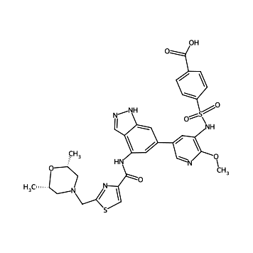 COc1ncc(-c2cc(NC(=O)c3csc(CN4C[C@@H](C)O[C@@H](C)C4)n3)c3cn[nH]c3c2)cc1NS(=O)(=O)c1ccc(C(=O)O)cc1